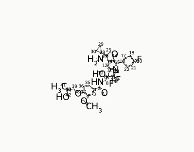 COc1cc(C(=O)NC[C@](O)(c2cc3c(c(-c4ccc(F)cc4)n2)OC[C@]3(N)C2CC2)C(F)(F)F)ccc1OC[C@@H](C)O